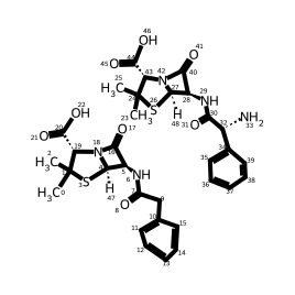 CC1(C)S[C@@H]2[C@H](NC(=O)Cc3ccccc3)C(=O)N2[C@H]1C(=O)O.CC1(C)S[C@@H]2[C@H](NC(=O)[C@H](N)c3ccccc3)C(=O)N2[C@H]1C(=O)O